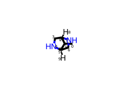 CC1[C@@H]2CN[C@H]1CN2